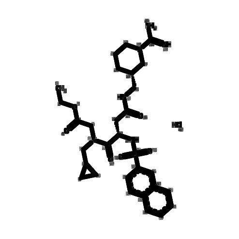 CCOC(=O)CN(CC1CC1)C(=O)[C@H](CC(=O)NC[C@@H]1CCCN(C(=N)N)C1)NS(=O)(=O)c1ccc2ccccc2c1.Cl